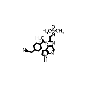 C=C(C1CCC(CC#N)CC1)n1c(CN=S(C)(C)=O)nc2cnc3[nH]ccc3c21